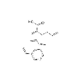 C=CC=C.C=CCCC(=C)C(=O)O.C=Cc1ccccc1